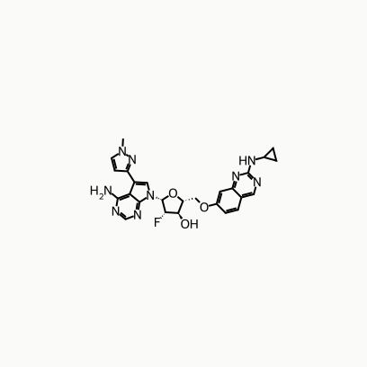 Cn1ccc(-c2cn([C@@H]3O[C@H](COc4ccc5cnc(NC6CC6)nc5c4)[C@@H](O)[C@@H]3F)c3ncnc(N)c23)n1